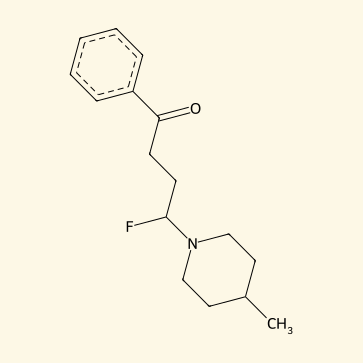 CC1CCN(C(F)CCC(=O)c2ccccc2)CC1